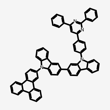 c1ccc(-c2cc(-c3ccc(-n4c5ccccc5c5ccc(-c6ccc7c(c6)c6ccccc6n7-c6ccc7c8ccccc8c8ccccc8c7c6)cc54)cc3)nc(-c3ccccc3)n2)cc1